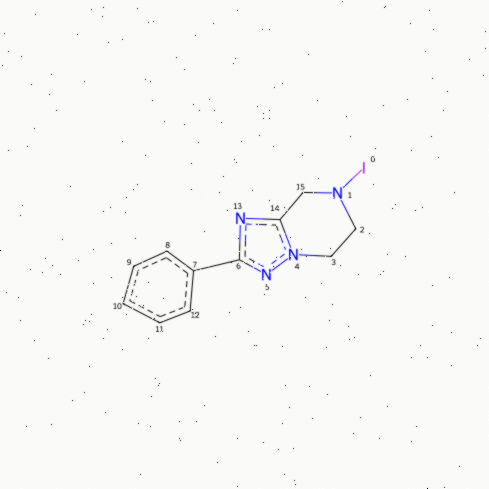 IN1CCn2nc(-c3ccccc3)nc2C1